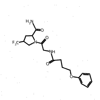 NC(=O)C1CC(C(F)(F)F)CN1C(=O)CNC(=O)CCCOc1ccccc1